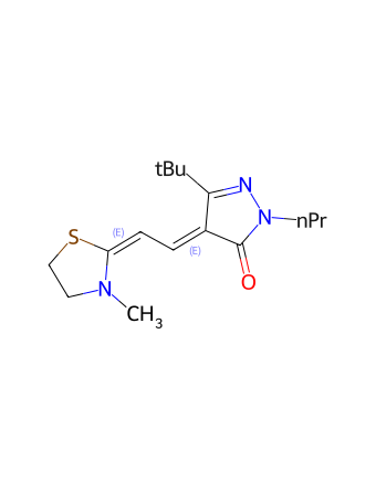 CCCN1N=C(C(C)(C)C)/C(=C\C=C2\SCCN2C)C1=O